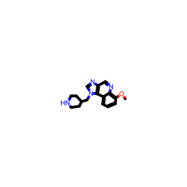 COc1cccc2c1ncc1ncn(CC3CCNCC3)c12